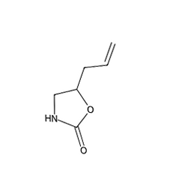 C=CCC1CNC(=O)O1